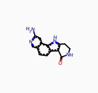 Nc1cc2c(ccc3c4c([nH]c32)CCNC4=O)cn1